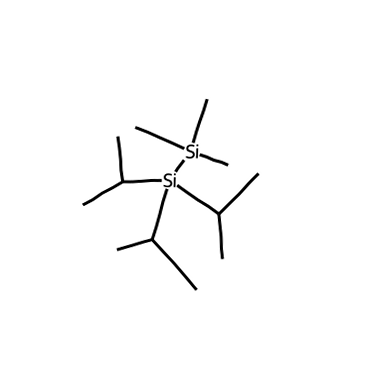 CC(C)[Si](C(C)C)(C(C)C)[Si](C)(C)C